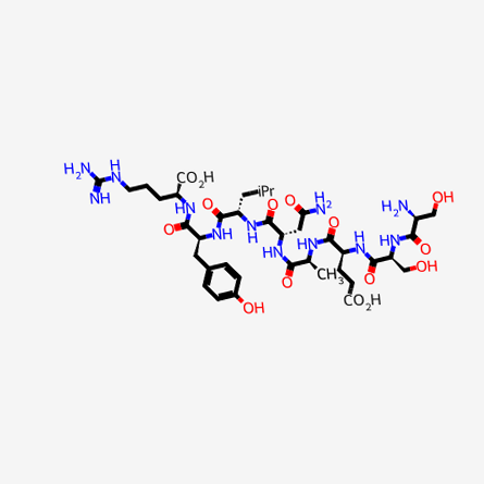 CC(C)C[C@H](NC(=O)[C@H](CC(N)=O)NC(=O)[C@H](C)NC(=O)[C@H](CCC(=O)O)NC(=O)[C@H](CO)NC(=O)[C@@H](N)CO)C(=O)N[C@@H](Cc1ccc(O)cc1)C(=O)N[C@@H](CCCNC(=N)N)C(=O)O